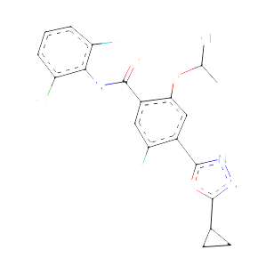 CC(Oc1cc(-c2nnc(C3CC3)o2)c(F)cc1C(=O)Nc1c(F)cccc1Cl)C(F)(F)F